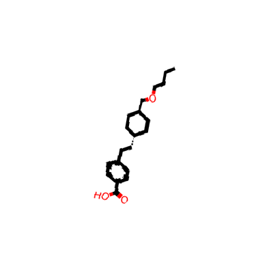 CCCCOC[C@H]1CC[C@H](CCc2ccc(C(=O)O)cc2)CC1